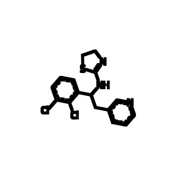 Clc1cccc(C(Cc2cccnc2)NC2=NCCS2)c1Cl